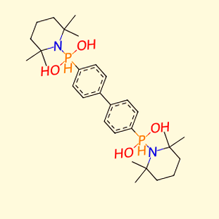 CC1(C)CCCC(C)(C)N1[PH](O)(O)c1ccc(-c2ccc([PH](O)(O)N3C(C)(C)CCCC3(C)C)cc2)cc1